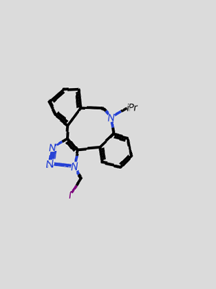 CC(C)N1Cc2ccccc2-c2nnn(CI)c2-c2ccccc21